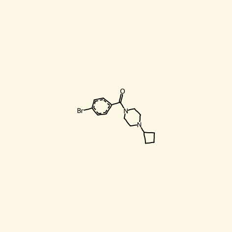 O=C(c1ccc(Br)cc1)N1CCN(C2CCC2)CC1